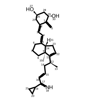 C=C1/C(=C\C=C2/CCC[C@]3(C)C([C@@H](C)C/C=C/C(=N)C4CC4)=CC[C@@H]23)C[C@@H](O)C[C@@H]1O